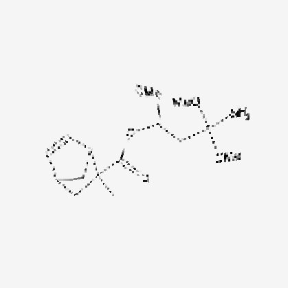 COC(CC([SiH3])(OC)OC)OC(=O)C1(C)CC2C=CC1C2